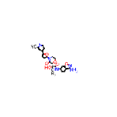 CC(O)(C(=O)Nc1ccc2c(N)noc2c1)[C@H]1OCCN(c2ccc(-c3ccnc(C#N)c3)o2)C1=O